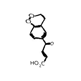 O=C(O)C=CC(=O)c1ccc2c(c1)CCOO2